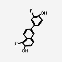 Oc1ccc(-c2ccc3c(Cl)c(O)ccc3c2)cc1F